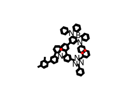 Cc1ccc(-c2ccc3c(c2)c2ccccc2n3-c2ccc(-c3nc(-c4ccccc4)nc(-c4ccccc4)n3)cc2-c2cccc(-c3cc4c5c(c3)N(c3ccccc3)c3ccccc3B5c3ccccc3N4c3ccccc3)c2)c(C)c1